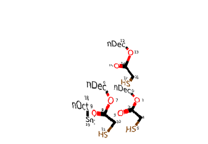 CCCCCCCCCCOC(=O)CS.CCCCCCCCCCOC(=O)CS.CCCCCCCCCCOC(=O)CS.CCCCCCC[CH2][Sn]